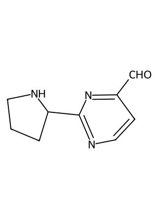 O=Cc1ccnc(C2CCCN2)n1